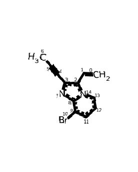 C=Cc1c(C#CC)nc2c(Br)cccn12